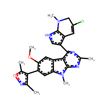 COc1cc2c3c(-c4c[nH]c5c4C=C(Cl)CN5C)nc(C)nc3n(C)c2cc1-c1c(C)noc1C